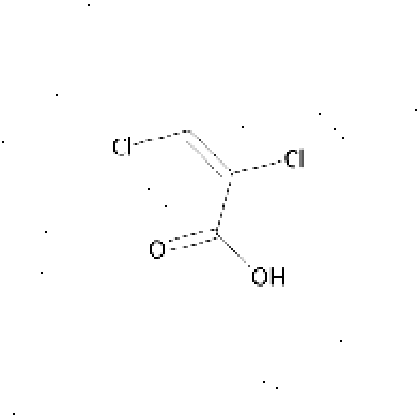 O=C(O)/C(Cl)=C\Cl